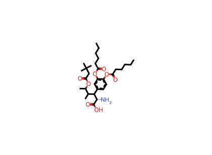 CCCCCC(=O)Oc1ccc(C(C(C)C(C)OC(=O)CC(C)(C)C)[C@H](N)C(=O)O)cc1OC(=O)CCCCC